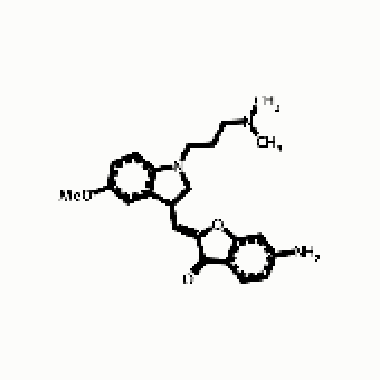 COc1ccc2c(c1)C(/C=C1\Oc3cc(N)ccc3C1=O)CN2CCCN(C)C